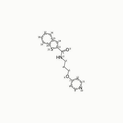 O=C(NCCCOc1ccncc1)c1cc2ccccc2s1